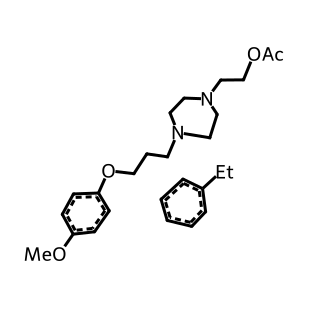 CCc1ccccc1.COc1ccc(OCCCN2CCN(CCOC(C)=O)CC2)cc1